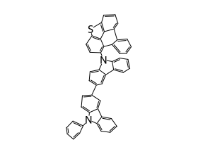 c1ccc(-n2c3ccccc3c3cc(-c4ccc5c(c4)c4ccccc4n5-c4ccc5sc6cccc7c8ccccc8c4c5c67)ccc32)cc1